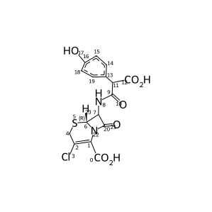 O=C(O)C1=C(Cl)CS[C@@H]2C(NC(=O)C(C(=O)O)c3ccc(O)cc3)C(=O)N12